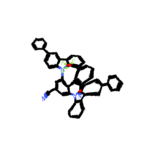 N#Cc1cc(-n2c3ccccc3c3cc(-c4ccccc4)ccc32)c(-c2c(C#N)cccc2C(F)(F)F)c(-n2c3ccccc3c3cc(-c4ccccc4)ccc32)c1